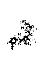 Cc1c(C(=O)C(=O)NC(C)(C)CCO)cc(C(=O)Nc2ccc(F)c(C#N)c2)n1C